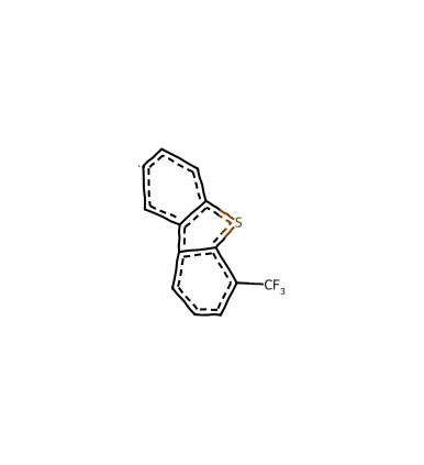 FC(F)(F)c1cccc2c1sc1cc[c]cc12